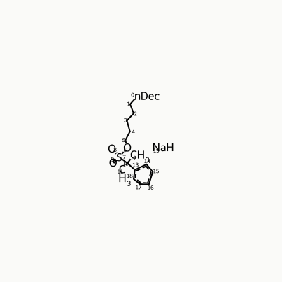 CCCCCCCCCCCCCCCOS(=O)(=O)C(C)(C)c1ccccc1.[NaH]